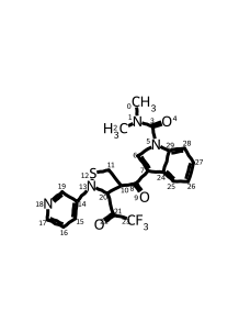 CN(C)C(=O)n1cc(C(=O)C2CSN(c3cccnc3)C2C(=O)C(F)(F)F)c2ccccc21